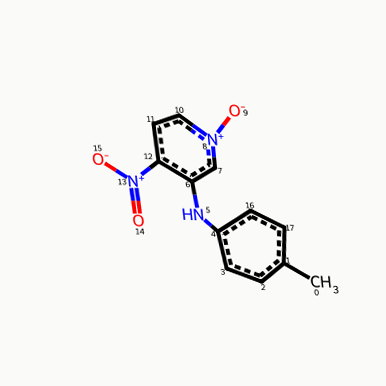 Cc1ccc(Nc2c[n+]([O-])ccc2[N+](=O)[O-])cc1